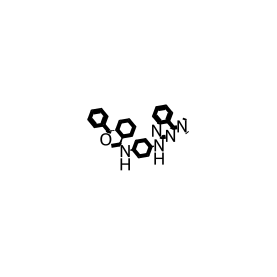 CC(N[C@H]1CC[C@@H](Nc2nc(N(C)C)c3ccccc3n2)CC1)[C@@H]1CCCC[C@H]1C(=O)c1ccccc1